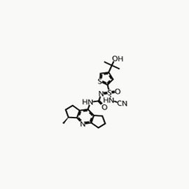 C[C@H]1CCc2c1nc1c(c2NC(=O)N=[S@@](=O)(NC#N)c2cc(C(C)(C)O)cs2)CCC1